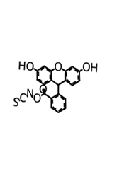 O=C(ON=C=S)c1ccccc1C1c2ccc(O)cc2Oc2cc(O)ccc21